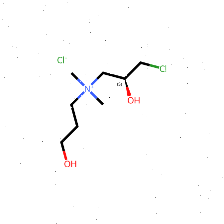 C[N+](C)(CCCO)C[C@H](O)CCl.[Cl-]